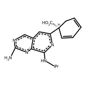 CC(C)Nc1nc([C@]2(C(=O)O)C=CC=CC2)cc2cnc(N)nc12